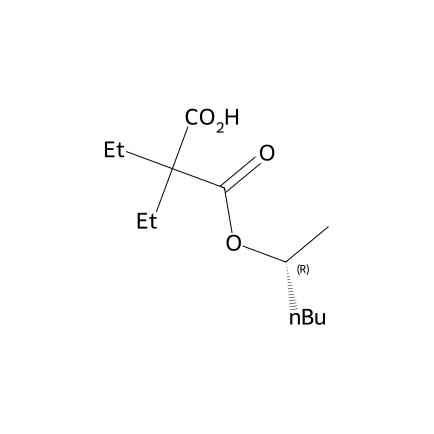 CCCC[C@@H](C)OC(=O)C(CC)(CC)C(=O)O